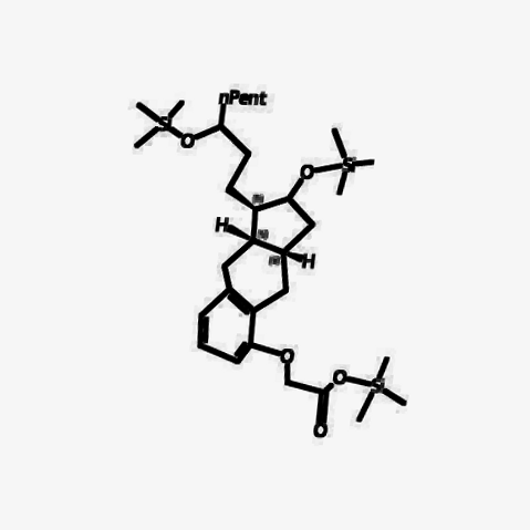 CCCCCC(CC[C@H]1C(O[Si](C)(C)C)C[C@@H]2Cc3c(cccc3OCC(=O)O[Si](C)(C)C)C[C@@H]21)O[Si](C)(C)C